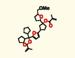 C=C(C)C(=O)OC1(C2CCC(COC)O2)CCC(c2ccc(C(OC(=O)C(=C)C)(C3CCCC3)C3CCCC3)o2)C1